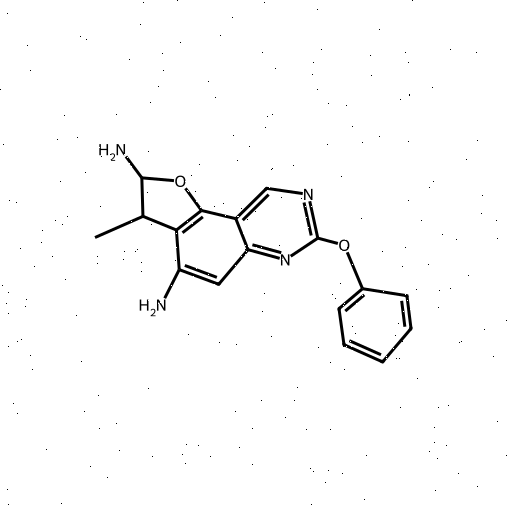 CC1c2c(N)cc3nc(Oc4ccccc4)ncc3c2OC1N